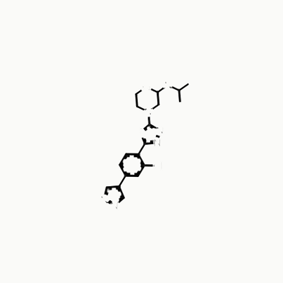 CC(C)NC1CN(c2nnc(-c3ccc(-c4cn[nH]c4)cc3Cl)s2)CCO1